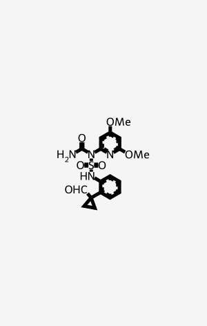 COc1cc(OC)nc(N(C(N)=O)S(=O)(=O)Nc2ccccc2C2(C=O)CC2)c1